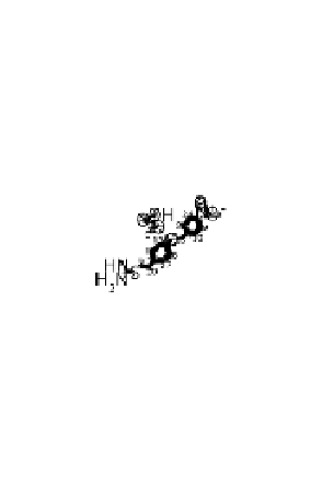 CS(=O)(=O)O.N=C(N)SCCc1ccc(OCc2ccc([N+](=O)[O-])cc2)cc1